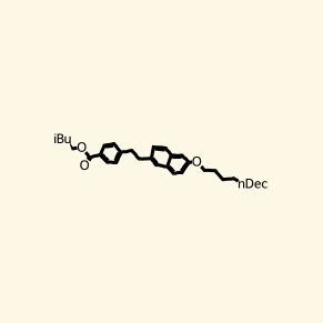 CCCCCCCCCCCCCCOc1ccc2cc(CCc3ccc(C(=O)OC[C@H](C)CC)cc3)ccc2c1